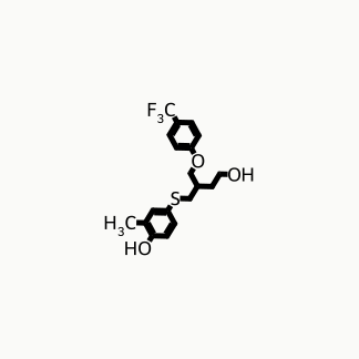 Cc1cc(SCC(CCO)COc2ccc(C(F)(F)F)cc2)ccc1O